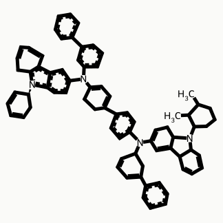 CC1CCCC(N2C3CC=C(N(c4ccc(C5=CC=C(N(c6cccc(-c7ccccc7)c6)c6ccc7c(c6)c6c(n7[C@H]7C=CC=CC7)CC=CC=C6)CC5)cc4)C4C=CC=C(c5ccccc5)C4)C=C3C3C=CC=CC32)C1C